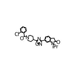 CC(C)N1C(=O)Cc2ccc(-c3noc(C4CCN(C(=O)c5ccccc5Cl)CC4)n3)cc21